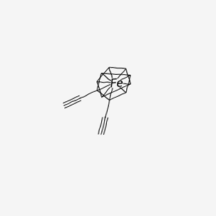 C#C[C]12[CH]3[CH]4[CH]5[C]1(C#C)[Fe]43521678[CH]2[CH]1[CH]6[CH]7[CH]28